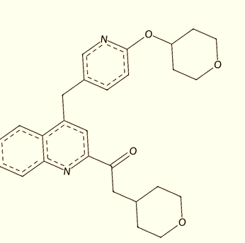 O=C(CC1CCOCC1)c1cc(Cc2ccc(OC3CCOCC3)nc2)c2ccccc2n1